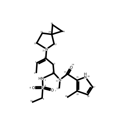 C/C=C(\CC(NS(=O)(=O)CC)N(C)C(=O)c1[nH]ccc1C)N1CCC2(CC2)C1